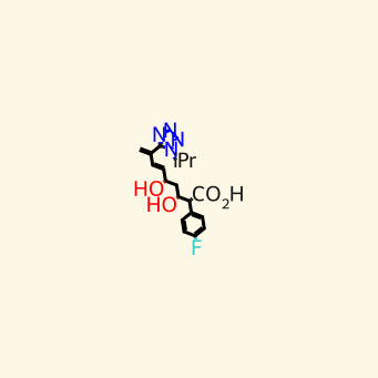 C=C(C=CC(O)CC(O)C(C(=O)O)c1ccc(F)cc1)c1nnnn1C(C)C